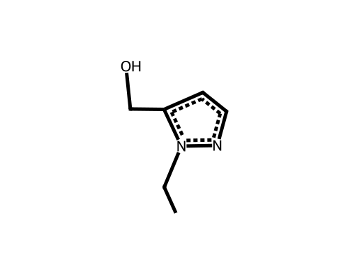 CCn1nccc1CO